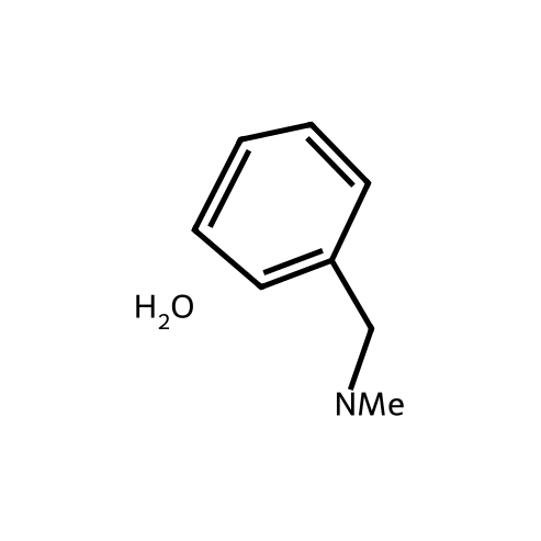 CNCc1ccccc1.O